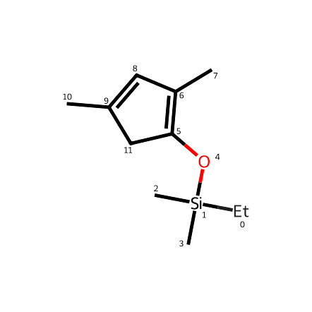 CC[Si](C)(C)OC1=C(C)C=C(C)C1